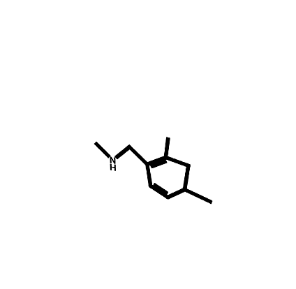 CNCC1=C(C)CC(C)C=C1